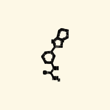 NC(=O)Nc1cccc(-c2cn3ccccc3n2)c1